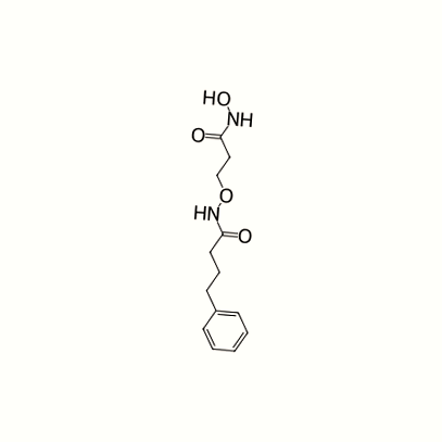 O=C(CCONC(=O)CCCc1ccccc1)NO